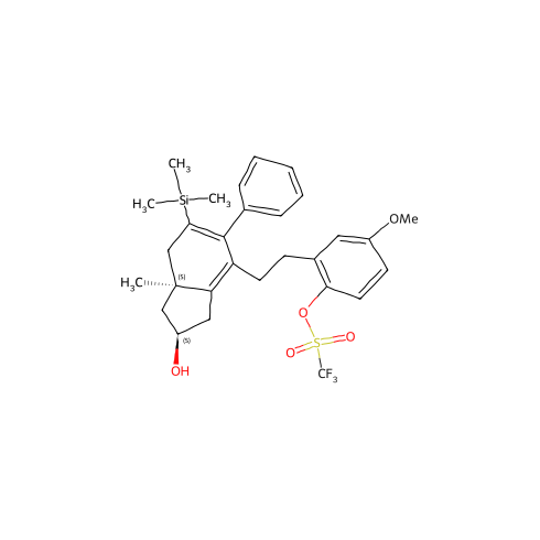 COc1ccc(OS(=O)(=O)C(F)(F)F)c(CCC2=C3C[C@@H](O)C[C@@]3(C)CC([Si](C)(C)C)=C2c2ccccc2)c1